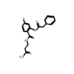 NC(=O)CCNC(=O)c1ccc(Cl)cc1SC(=O)CC1C=CC=CC1